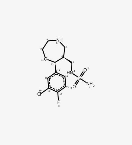 NS(=O)(=O)NC[C@@H]1CNCCO[C@@H]1c1ccc(F)c(Cl)c1